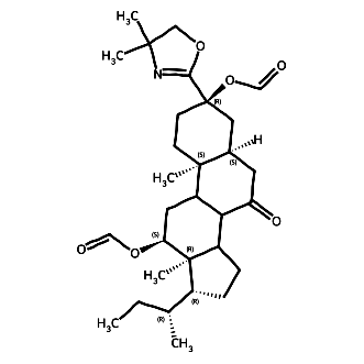 CC[C@@H](C)[C@H]1CCC2C3C(=O)C[C@@H]4C[C@@](OC=O)(C5=NC(C)(C)CO5)CC[C@]4(C)C3C[C@H](OC=O)[C@@]21C